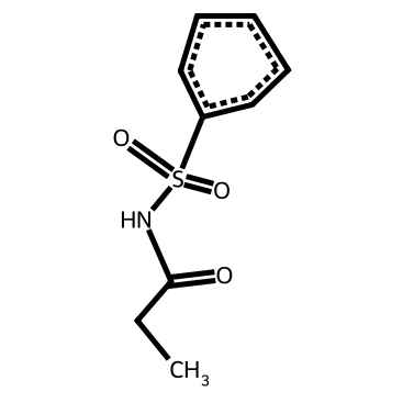 CCC(=O)NS(=O)(=O)c1ccccc1